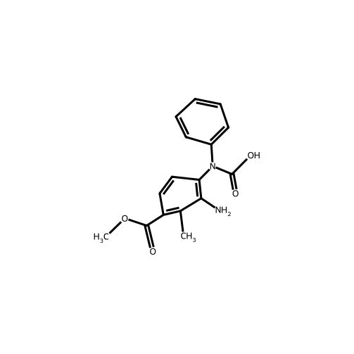 COC(=O)c1ccc(N(C(=O)O)c2ccccc2)c(N)c1C